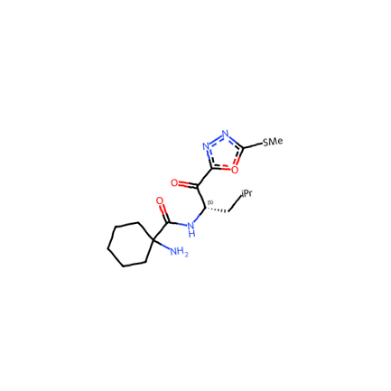 CSc1nnc(C(=O)[C@H](CC(C)C)NC(=O)C2(N)CCCCC2)o1